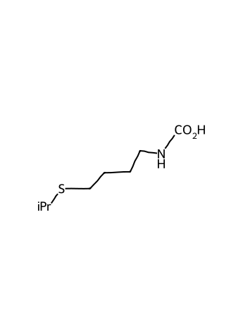 CC(C)SCCCCNC(=O)O